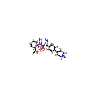 C=CC1C=CC=C[C@@]1(O)NC(=O)Nc1ccc(-c2ccncc2)cc1